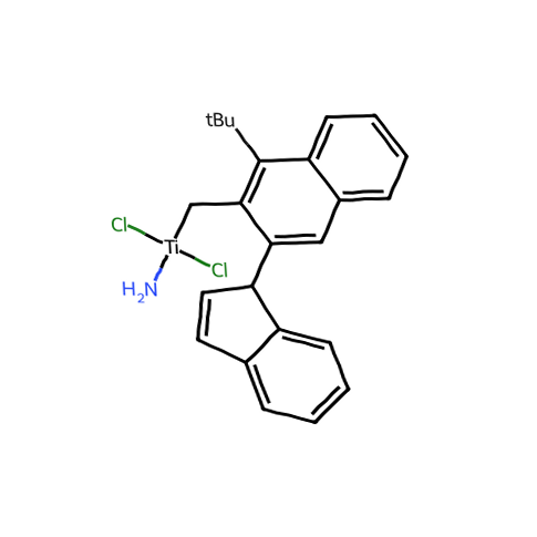 CC(C)(C)c1c([CH2][Ti]([NH2])([Cl])[Cl])c(C2C=Cc3ccccc32)cc2ccccc12